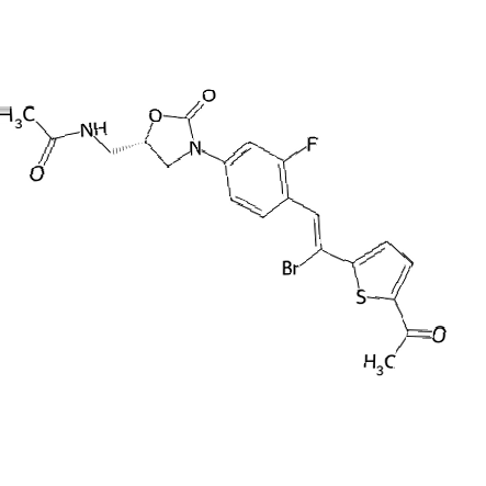 CC(=O)NC[C@H]1CN(c2ccc(C=C(Br)c3ccc(C(C)=O)s3)c(F)c2)C(=O)O1